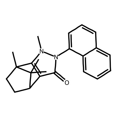 Cn1c2c(c(=O)n1-c1cccc3ccccc13)C1CCC2(C)C1(C)C